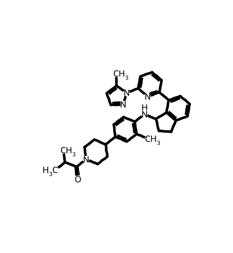 Cc1cc(C2CCN(C(=O)C(C)C)CC2)ccc1NC1CCc2cccc(-c3cccc(-n4nccc4C)n3)c21